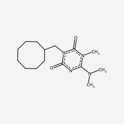 CN(C)c1nc(=O)n(CC2CCCCCCC2)c(=O)n1C